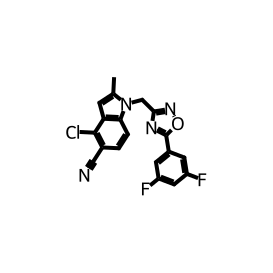 Cc1cc2c(Cl)c(C#N)ccc2n1Cc1noc(-c2cc(F)cc(F)c2)n1